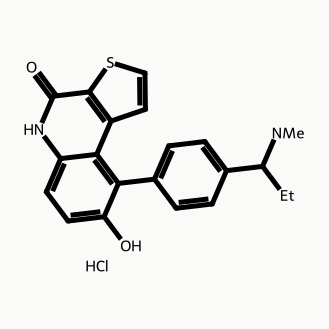 CCC(NC)c1ccc(-c2c(O)ccc3[nH]c(=O)c4sccc4c23)cc1.Cl